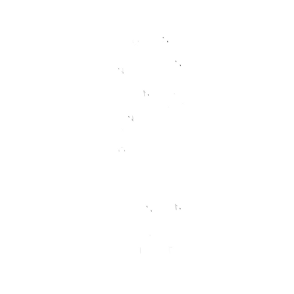 COc1ncnc(C2CC2)c1-c1ncc2ccc(=O)n(C(C)c3ccc(-c4nc(C(F)(F)F)cn4C)cc3)c2n1